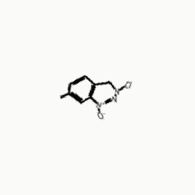 Cc1ccc2c(c1)[N+]([O-])=NN(Cl)C2